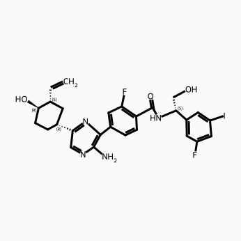 C=C[C@@H]1C[C@H](c2cnc(N)c(-c3ccc(C(=O)N[C@H](CO)c4cc(F)cc(I)c4)c(F)c3)n2)CC[C@H]1O